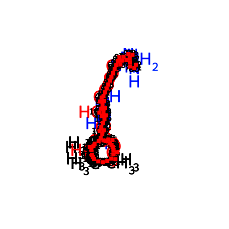 CO[C@H]1CC2CCCC(O2)C(=O)C(=O)N2CCCC[C@H]2C(=O)O[C@H](CC[C@H]2CC[C@H](OC(=O)NCc3cnc(N4CCN(c5ncc(C(=O)NCCOCCOCCOCCOCCC(=O)N6CCc7cc(Cn8nc(-c9cnc%10[nH]ccc%10c9)c9c(N)ncnc98)ccc7C6)cn5)CC4CO)nc3)CC2)CC(=O)[C@H](C)/C=C(\C)[C@@H](O)CC(=O)[C@H](C)C[C@H](C)/C=C/C=C/C=C/1C